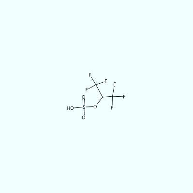 O=S(=O)(O)OC(C(F)(F)F)C(F)(F)F